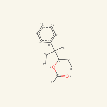 CCC(OC(C)=O)C(C)(CC)c1ccccc1